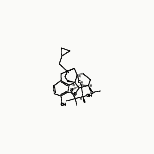 CO[C@]12CC[C@@]3(C[C@@H]1[C@](C)(O)C(C)(C)C)C1Cc4ccc(O)c5c4[C@@]3(CCN1CC1CC1)C2O5